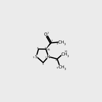 CC(=O)[C@@H]1CSCN1C(C)C